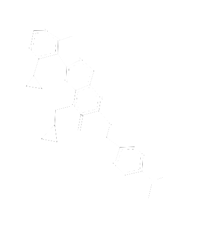 CC[S+]([O-])c1cnc(CNc2nc3cnc(-c4c(C)ncnc4C4CC4)nc3n([C@@H](C)C3CC3)c2=O)cn1